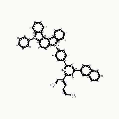 C=C/C(=C\C=C/C)c1nc(-c2ccc(-n3c4ccccc4c4c5c6ccccc6n(-c6ccccc6)c5ccc43)cc2)nc(-c2ccc3ccccc3c2)n1